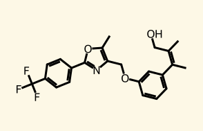 CC(CO)=C(C)c1cccc(OCc2nc(-c3ccc(C(F)(F)F)cc3)oc2C)c1